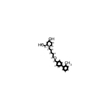 Cc1ccccc1-c1ccc(COCCCCCN2CCC(O)C[C@@H]2CO)cc1